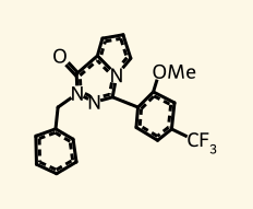 COc1cc(C(F)(F)F)ccc1-c1nn(Cc2ccccc2)c(=O)c2cccn12